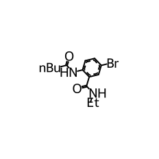 CCCCC(=O)Nc1ccc(Br)cc1C(=O)NCC